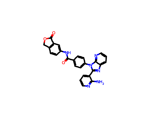 Nc1ncccc1-c1nc2cccnc2n1-c1ccc(C(=O)Nc2ccc3c(c2)C(=O)OC3)cc1